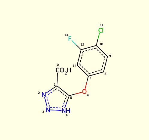 O=C(O)c1nn[nH]c1Oc1ccc(Cl)c(F)c1